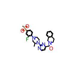 CC1CN(c2ccc(S(C)(=O)=O)cc2F)CCN1c1nccc(C(=O)N2CCc3ccccc3C2)n1